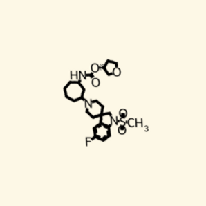 CS(=O)(=O)N1CC2(CCN(C3CCCCC(NC(=O)O[C@H]4CCOC4)C3)CC2)c2cc(F)ccc21